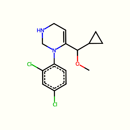 COC(C1=CCNCN1c1ccc(Cl)cc1Cl)C1CC1